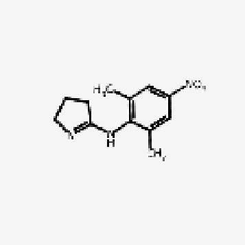 Cc1cc([N+](=O)[O-])cc(C)c1NC1=NCCC1